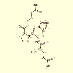 NC(=O)CCCCC(=O)[C@@H]1CCCN1C(=O)[C@H](Cc1c[nH]cn1)NC(=O)[C@@H](N)CCC(=O)O